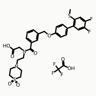 CSc1cc(F)c(F)cc1-c1ccc(OCc2cccc(C(=O)N(CCN3CCS(=O)(=O)CC3)CC(=O)O)c2)cc1.O=C(O)C(F)(F)F